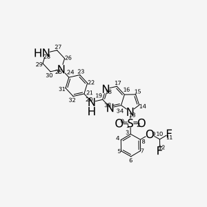 O=S(=O)(c1ccccc1OC(F)F)n1ccc2cnc(Nc3ccc(N4CCNCC4)cc3)nc21